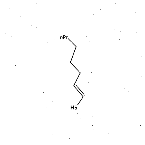 CCCCCCC=CS